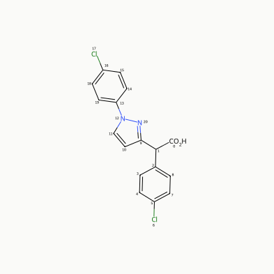 O=C(O)C(c1ccc(Cl)cc1)c1ccn(-c2ccc(Cl)cc2)n1